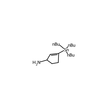 CCC[CH2][Sn]([CH2]CCC)([CH2]CCC)[C]1=CC(N)CC1